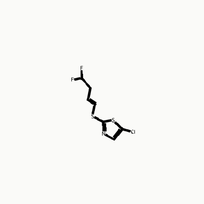 FC(F)C/C=C/Sc1ncc(Cl)s1